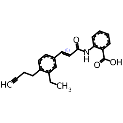 C#CCCc1ccc(/C=C/C(=O)Nc2ccccc2C(=O)O)cc1CC